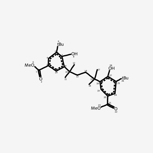 COC(=O)c1cc(C(C)(C)C)c(O)c(C(C)(C)CCC(C)(C)c2cc(C(=O)OC)cc(C(C)(C)C)c2O)c1